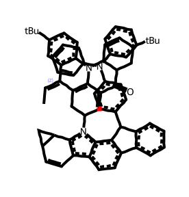 C/C=C1\C2=C3C(=CC(n4c5c(c6ccc7c(c64)C(c4ccc(N(c6ccccc6)C6C=CC=CC6)cc4)c4ccccc4-7)C=CC4CC54)C2)C(=O)C2CC(C(C)(C)C)C=CC2N3c2ccc(C(C)(C)C)cc21